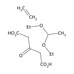 C=C.CCOC(C)OCC.O=C(O)CC(=O)CC(=O)O